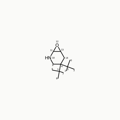 CC(C)(C)C1(C(C)(C)C)CNC2OC2C1